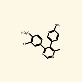 Cc1ncnc(-c2ccc(C(=O)O)c(Cl)c2)c1-c1ccc(N)nc1